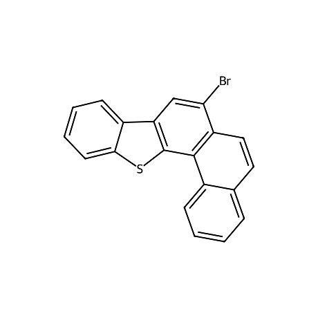 Brc1cc2c3ccccc3sc2c2c1ccc1ccccc12